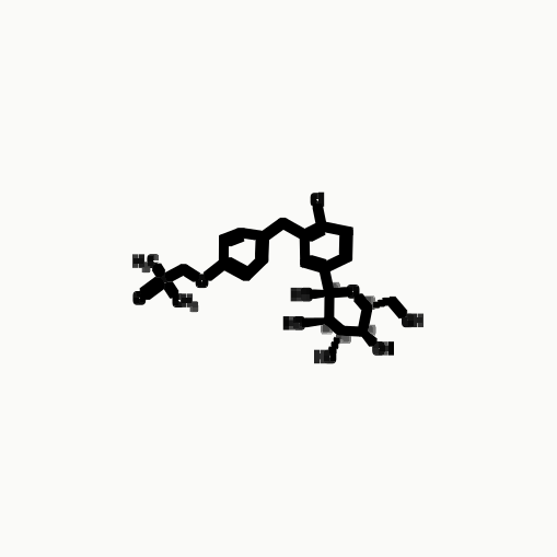 CP(C)(=O)COc1ccc(Cc2cc([C@]3(O)O[C@H](CO)[C@@H](O)[C@H](O)[C@H]3O)ccc2Cl)cc1